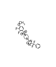 COc1ccc(S(=O)(=O)N2CCN(c3nc(C(F)(F)c4ccccc4)no3)CC2)c(F)c1F